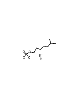 CC(C)CCCCCOP(=O)([O-])[O-].[K+].[K+]